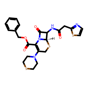 O=C(Cc1nccs1)NC1C(=O)N2C(C(=O)OCc3ccccc3)=C(N3CCSCC3)CS[C@H]12